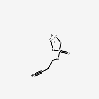 C#CCCOP(=O)(OC)OC